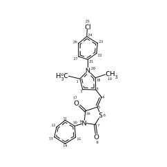 Cc1cc(/C=C2/SC(=O)N(c3ccccc3)C2=O)c(C)n1-c1ccc(Cl)cc1